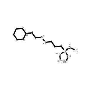 CCO[Si](CCCSSCCC1C[CH]CCC1)(OCC)OCC